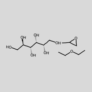 CC1CO1.CCOCC.OC[C@@H](O)[C@@H](O)[C@H](O)[C@@H](O)CO